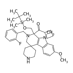 COc1ccc2c3c(n(C)c2c1)C(CO[Si](C)(C)C(C)(C)C)(C(=O)C1CCC1)N(Cc1ccccc1F)CC31CCNCC1